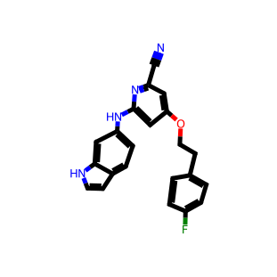 N#Cc1cc(OCCc2ccc(F)cc2)cc(Nc2ccc3cc[nH]c3c2)n1